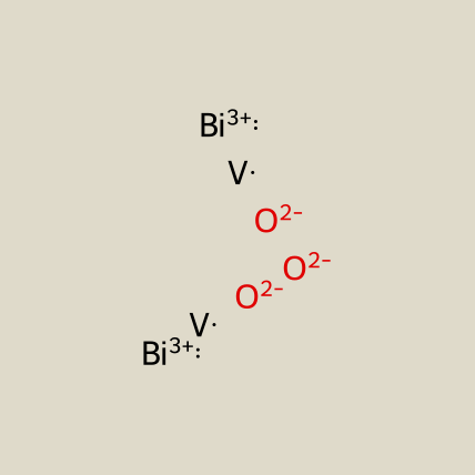 [Bi+3].[Bi+3].[O-2].[O-2].[O-2].[V].[V]